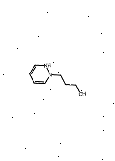 OCCCN1C=CC=CN1